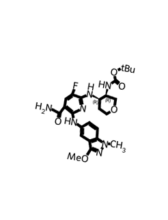 COc1nn(C)c2ccc(Nc3nc(N[C@@H]4CCOC[C@@H]4NC(=O)OC(C)(C)C)c(F)cc3C(N)=O)cc12